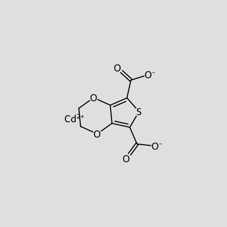 O=C([O-])c1sc(C(=O)[O-])c2c1OCCO2.[Cd+2]